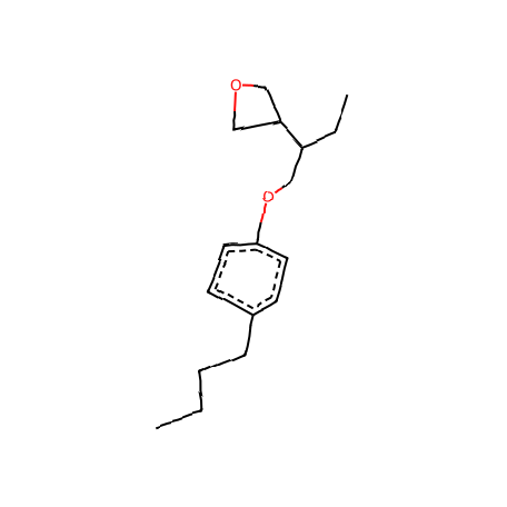 CCCCc1ccc(OCC(CC)C2COC2)cc1